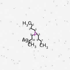 CCCCP(CCCC)CCCC.[Ag]